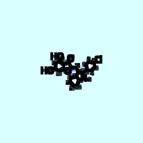 Cn1c(-c2ccc(Cl)cc2)c(/C=C2\Oc3cc(O)cc(O)c3C2=O)c2ccccc21